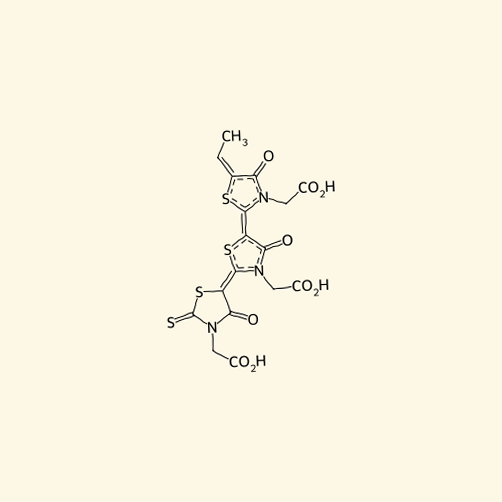 C/C=c1/s/c(=c2\s/c(=C3\SC(=S)N(CC(=O)O)C3=O)n(CC(=O)O)c2=O)n(CC(=O)O)c1=O